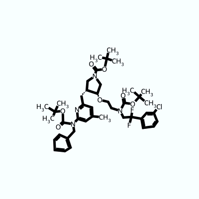 Cc1cc(C[C@@H]2CN(C(=O)OC(C)(C)C)C[C@@H]2OCCN(CC(F)(F)c2cccc(Cl)c2)C(=O)OC(C)(C)C)nc(N(Cc2ccccc2)C(=O)OC(C)(C)C)c1